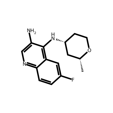 C[C@@H]1C[C@H](Nc2c(N)cnc3ccc(F)cc23)CCO1